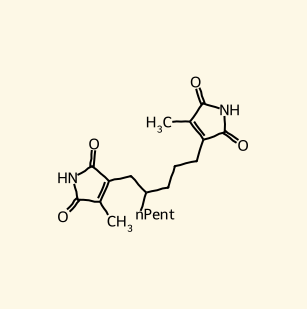 CCCCCC(CCCC1=C(C)C(=O)NC1=O)CC1=C(C)C(=O)NC1=O